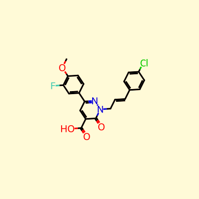 COc1ccc(-c2cc(C(=O)O)c(=O)n(CC=Cc3ccc(Cl)cc3)n2)cc1F